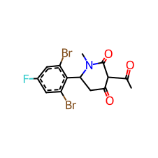 CC(=O)C1C(=O)CC(c2c(Br)cc(F)cc2Br)N(C)C1=O